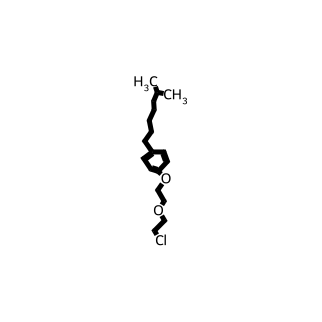 CC(C)CCCCCc1ccc(OCCOCCCl)cc1